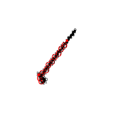 CCCCCCCCCCCOCCOCCOCCOCCOCCOCCOCCOCC(CC)OC1CCCCO1